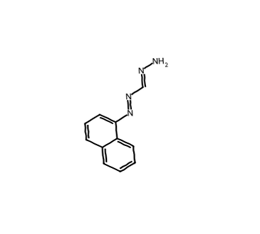 NN=CN=Nc1cccc2ccccc12